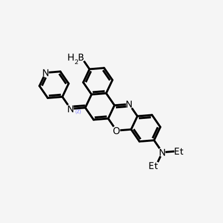 Bc1ccc2c3nc4ccc(N(CC)CC)cc4oc-3c/c(=N/c3ccncc3)c2c1